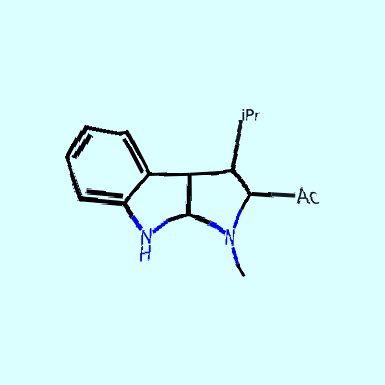 CC(=O)C1C(C(C)C)C2c3ccccc3NC2N1C